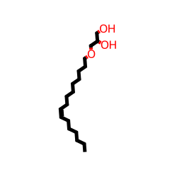 CCCCCC/C=C\CCCCCCCCOCC(O)CO